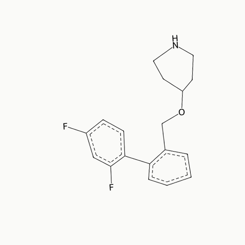 Fc1ccc(-c2ccccc2COC2CCNCC2)c(F)c1